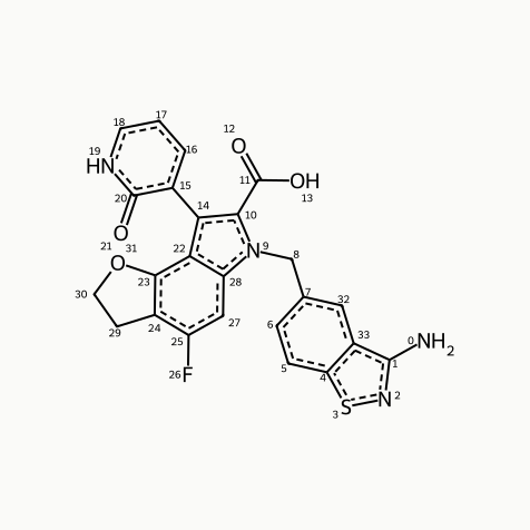 Nc1nsc2ccc(Cn3c(C(=O)O)c(-c4ccc[nH]c4=O)c4c5c(c(F)cc43)CCO5)cc12